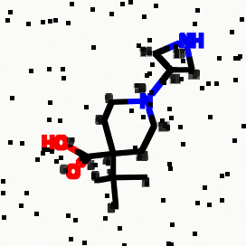 CC(C)(C)C1(C(=O)O)CCN(C2CNC2)CC1